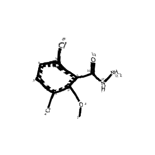 COc1c(Cl)ccc(Cl)c1C(=O)NN